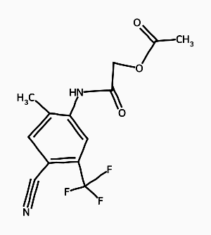 CC(=O)OCC(=O)Nc1cc(C(F)(F)F)c(C#N)cc1C